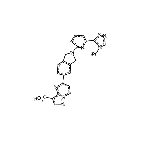 CC(C)n1cnnc1-c1cccc(N2Cc3ccc(-c4ccn5ncc(C(=O)O)c5n4)cc3C2)n1